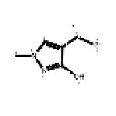 CC(C)Cc1cn(C)nc1O